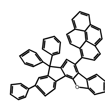 c1ccc(-c2ccc3c(c2)C(c2ccccc2)(c2ccccc2)c2cc(-c4ccc5ccc6cccc7ccc4c5c67)c4c(oc5ccccc54)c2-3)cc1